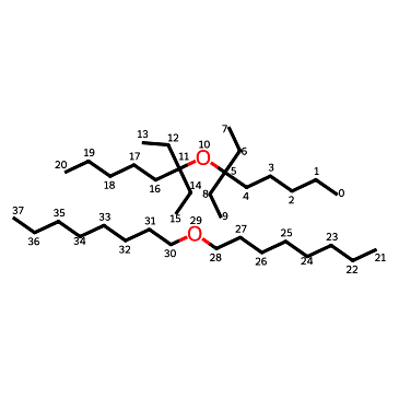 CCCCCC(CC)(CC)OC(CC)(CC)CCCCC.CCCCCCCCOCCCCCCCC